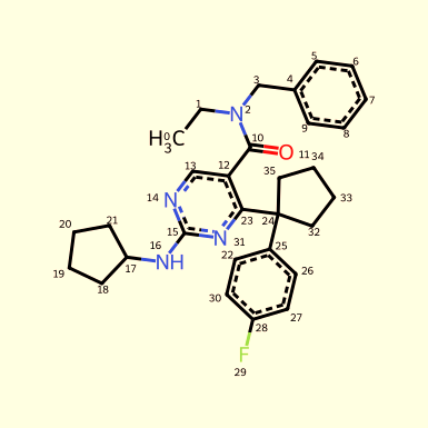 CCN(Cc1ccccc1)C(=O)c1cnc(NC2CCCC2)nc1C1(c2ccc(F)cc2)CCCC1